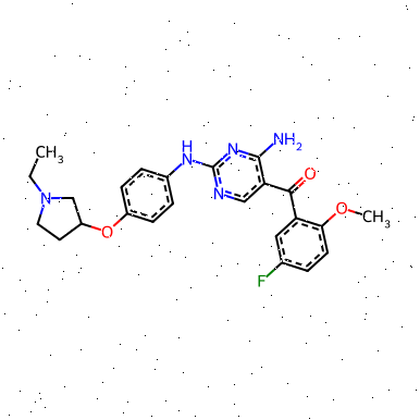 CCN1CCC(Oc2ccc(Nc3ncc(C(=O)c4cc(F)ccc4OC)c(N)n3)cc2)C1